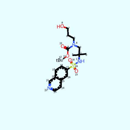 CC(C)(CN(CCCO)C(=O)OC(C)(C)C)NS(=O)(=O)c1ccc2cnccc2c1